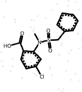 CN(c1cc(Cl)ccc1C(=O)O)S(=O)(=O)Cc1ccccc1